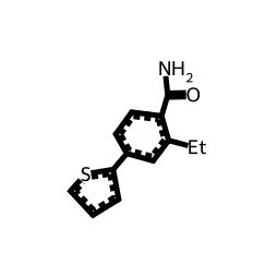 CCc1cc(-c2cccs2)ccc1C(N)=O